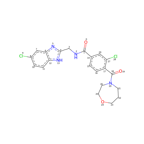 O=C(NCc1nc2cc(Cl)ccc2[nH]1)c1ccc(C(=O)N2CCCOCC2)c(Cl)c1